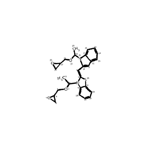 CC(OCC1CO1)N1/C(=C/c2cc3ccccc3n2C(C)OCC2CO2)Sc2ccccc21